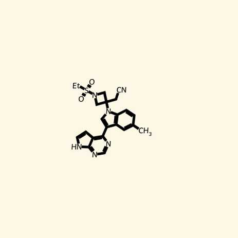 CCS(=O)(=O)N1CC(CC#N)(n2cc(-c3ncnc4[nH]ccc34)c3cc(C)ccc32)C1